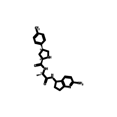 C[C@H](NC(=O)[C@H]1C[C@H](c2ccc(C(F)(F)F)cc2)CN1)C(=O)NC1CCc2nc(N)ccc21